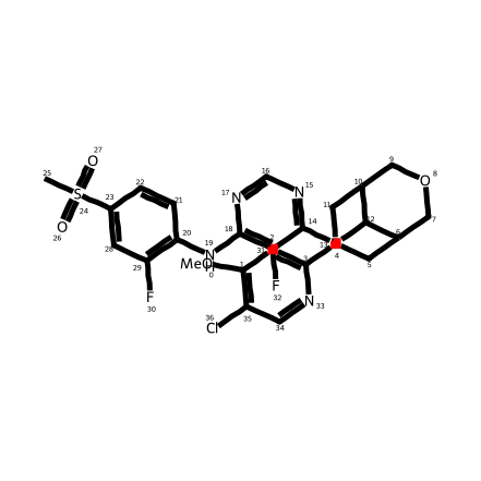 COc1nc(N2CC3COCC(C2)C3Oc2ncnc(Nc3ccc(S(C)(=O)=O)cc3F)c2F)ncc1Cl